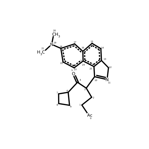 CC(=O)CCC(C(=O)C1CCC1)C1=NCc2ccc3cc(N(C)C)ccc3c21